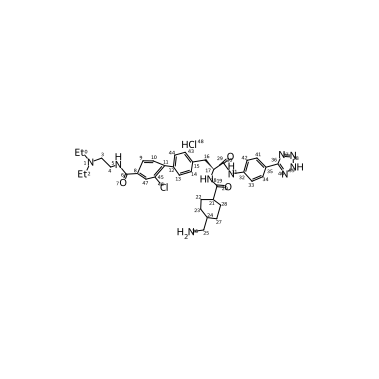 CCN(CC)CCNC(=O)c1ccc(-c2ccc(C[C@H](NC(=O)C3CCC(CN)CC3)C(=O)Nc3ccc(-c4nn[nH]n4)cc3)cc2)c(Cl)c1.Cl